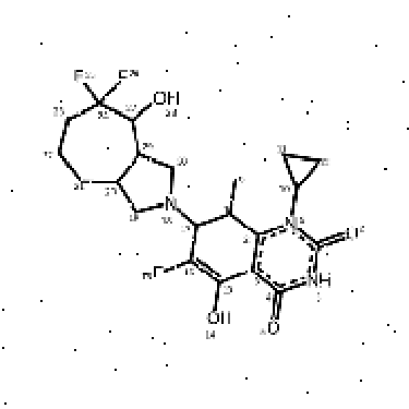 CC1c2c(c(=O)[nH]c(=O)n2C2CC2)C(O)=C(F)C1N1CC2CCCC(F)(F)C(O)C2C1